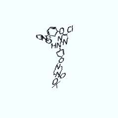 CC(C)(C)OC(=O)N1CCN(COc2ccc(Nc3ncc(Cl)c(Oc4cccc([N+](=O)[O-])c4)n3)cc2)CC1